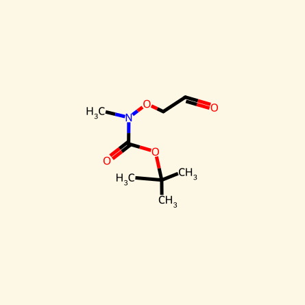 CN(OCC=O)C(=O)OC(C)(C)C